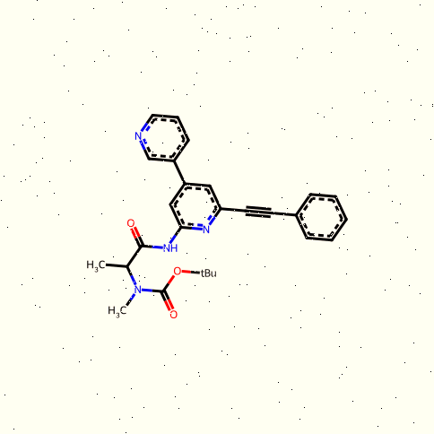 CC(C(=O)Nc1cc(-c2cccnc2)cc(C#Cc2ccccc2)n1)N(C)C(=O)OC(C)(C)C